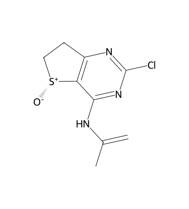 C=C(C)Nc1nc(Cl)nc2c1[S@+]([O-])CC2